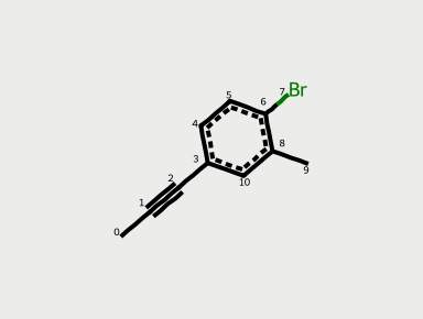 CC#Cc1ccc(Br)c(C)c1